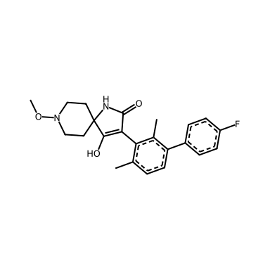 CON1CCC2(CC1)NC(=O)C(c1c(C)ccc(-c3ccc(F)cc3)c1C)=C2O